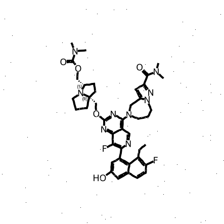 CCc1c(F)ccc2cc(O)cc(-c3ncc4c(N5CCCn6nc(C(=O)N(C)C)cc6C5)nc(OC[C@]56CCCN5[C@H](COC(=O)N(C)C)CC6)nc4c3F)c12